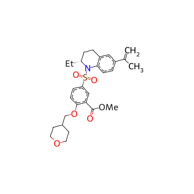 C=C(C)c1ccc2c(c1)CC[C@@H](CC)N2S(=O)(=O)c1ccc(OCC2CCOCC2)c(C(=O)OC)c1